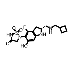 O=C1CN(c2c(O)cc3c(c2F)C[C@H](CNCC2CCC2)N3)S(=O)(=O)N1